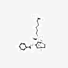 CN1[C@H]2CC[C@@H]1[C@@H](C(=O)NCCCCCC(=O)O)[C@@H](OC(=O)c1ccccc1)C2